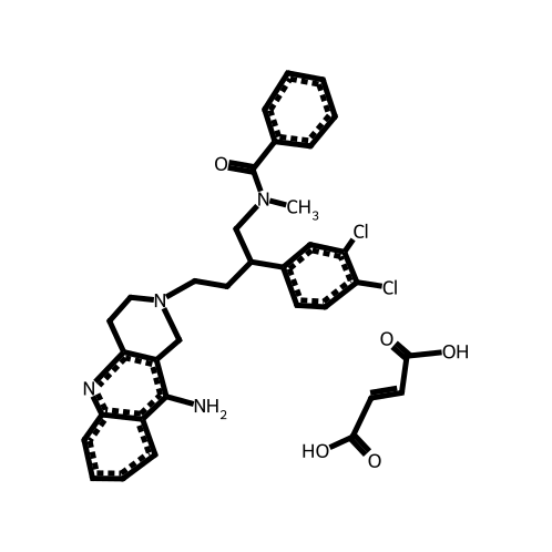 CN(CC(CCN1CCc2nc3ccccc3c(N)c2C1)c1ccc(Cl)c(Cl)c1)C(=O)c1ccccc1.O=C(O)/C=C/C(=O)O